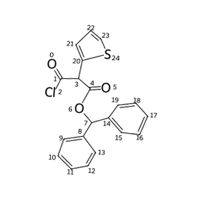 O=C(Cl)C(C(=O)OC(c1ccccc1)c1ccccc1)c1cccs1